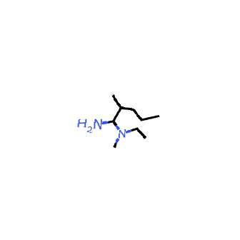 CCCC(C)C(N)N(C)CC